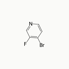 Fc1cnccc1Br